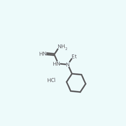 CCN(NC(=N)N)C1CCCCC1.Cl